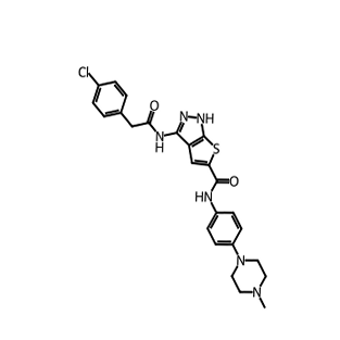 CN1CCN(c2ccc(NC(=O)c3cc4c(NC(=O)Cc5ccc(Cl)cc5)n[nH]c4s3)cc2)CC1